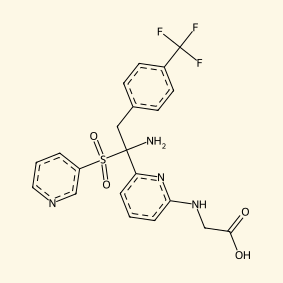 NC(Cc1ccc(C(F)(F)F)cc1)(c1cccc(NCC(=O)O)n1)S(=O)(=O)c1cccnc1